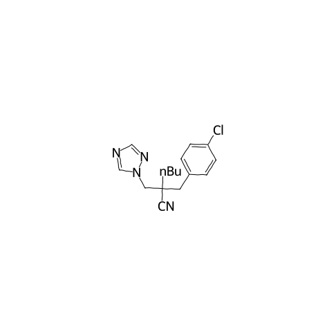 CCCCC(C#N)(Cc1ccc(Cl)cc1)Cn1cncn1